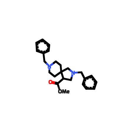 COC(=O)C1CN(Cc2ccccc2)CC12CCN(Cc1ccccc1)CC2